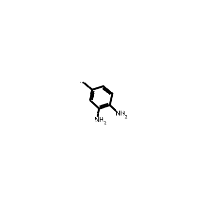 [CH2]c1ccc(N)c(N)c1